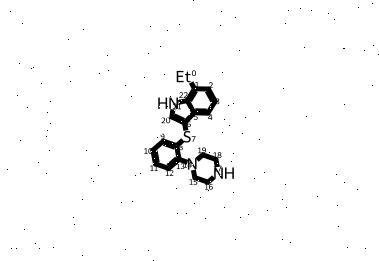 CCc1cccc2c(Sc3ccccc3N3CCNCC3)c[nH]c12